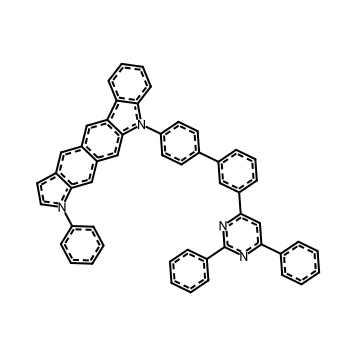 c1ccc(-c2cc(-c3cccc(-c4ccc(-n5c6ccccc6c6cc7cc8ccn(-c9ccccc9)c8cc7cc65)cc4)c3)nc(-c3ccccc3)n2)cc1